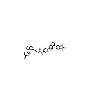 Cn1c(=O)n(C)c2cc(-c3cccc4cc(-c5ccc(C(=O)NCC#Cc6ccc7nnn(C8CCC(=O)NC8=O)c7c6)nc5)ncc34)ccc21